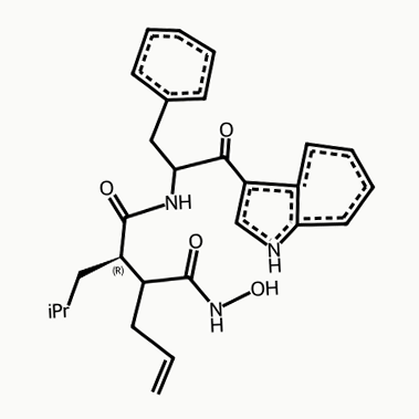 C=CCC(C(=O)NO)[C@@H](CC(C)C)C(=O)NC(Cc1ccccc1)C(=O)c1c[nH]c2ccccc12